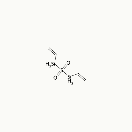 C=C[SiH2]S(=O)(=O)[SiH2]C=C